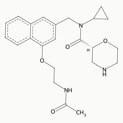 CC(=O)NCCOc1cc(CN(C(=O)[C@H]2CNCCO2)C2CC2)cc2ccccc12